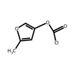 Cc1cc(OC(=O)Cl)co1